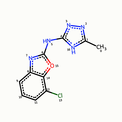 Cc1nnc(Nc2nc3cccc(Cl)c3o2)[nH]1